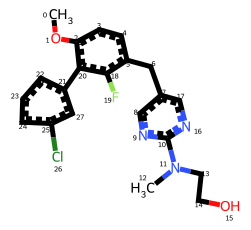 COc1ccc(Cc2cnc(N(C)CCO)nc2)c(F)c1-c1cccc(Cl)c1